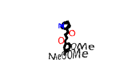 COc1cc(C(=O)CCC(=O)c2cccnc2)cc(OC)c1OC